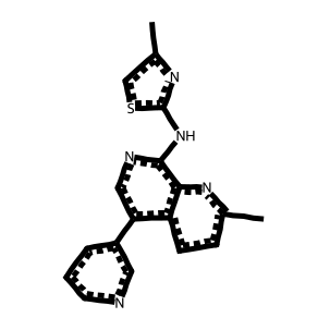 Cc1csc(Nc2ncc(-c3cccnc3)c3ccc(C)nc23)n1